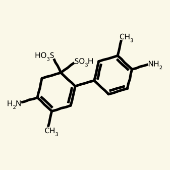 CC1=C(N)CC(S(=O)(=O)O)(S(=O)(=O)O)C(c2ccc(N)c(C)c2)=C1